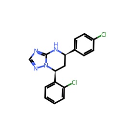 Clc1ccc([C@H]2C[C@@H](c3ccccc3Cl)n3ncnc3N2)cc1